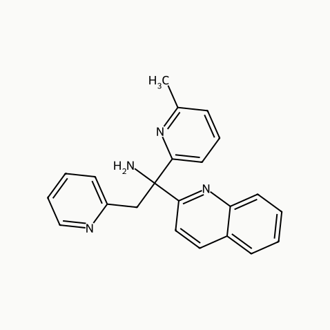 Cc1cccc(C(N)(Cc2ccccn2)c2ccc3ccccc3n2)n1